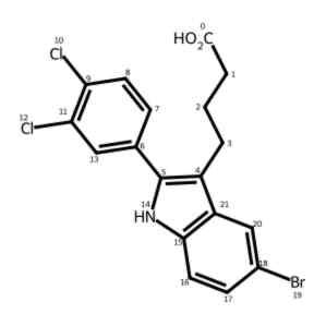 O=C(O)CCCc1c(-c2ccc(Cl)c(Cl)c2)[nH]c2ccc(Br)cc12